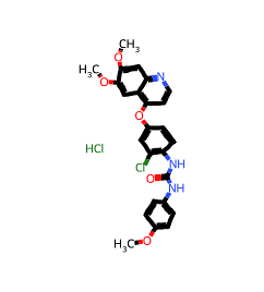 COc1ccc(NC(=O)Nc2ccc(Oc3ccnc4cc(OC)c(OC)cc34)cc2Cl)cc1.Cl